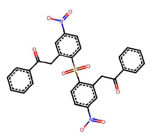 O=C(Cc1cc([N+](=O)[O-])ccc1S(=O)(=O)c1ccc([N+](=O)[O-])cc1CC(=O)c1ccccc1)c1ccccc1